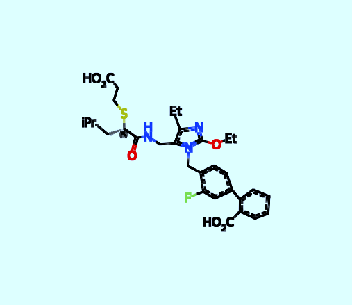 CCOc1nc(CC)c(CNC(=O)[C@H](CC(C)C)SCCC(=O)O)n1Cc1ccc(-c2ccccc2C(=O)O)cc1F